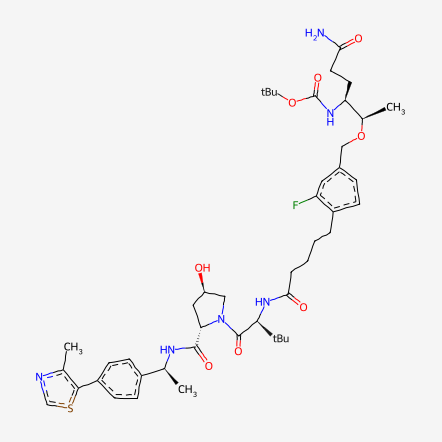 Cc1ncsc1-c1ccc([C@H](C)NC(=O)[C@@H]2C[C@@H](O)CN2C(=O)[C@@H](NC(=O)CCCCc2ccc(CO[C@H](C)[C@H](CCC(N)=O)NC(=O)OC(C)(C)C)cc2F)C(C)(C)C)cc1